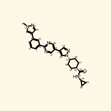 Cn1cc(-c2cccc(-c3ncc(-c4cnn([C@H]5CC[C@H](C(=O)NC6CC6)CC5)c4)cn3)c2)cn1